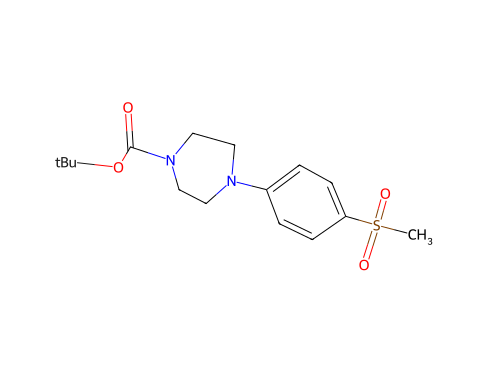 CC(C)(C)OC(=O)N1CCN(c2ccc(S(C)(=O)=O)cc2)CC1